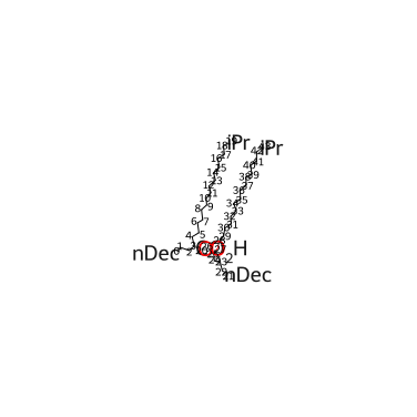 CCCCCCCCCCCCC(CCCCCCCCCCCCCCCC(C)C)C(=O)O.CCCCCCCCCCCCCC(=O)OCCCCCCCCCCCCCCCC(C)C